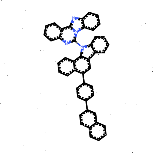 c1ccc2cc(-c3ccc(-c4cc5c6ccccc6n(-c6nc7ccccc7c7nc8ccccc8n67)c5c5ccccc45)cc3)ccc2c1